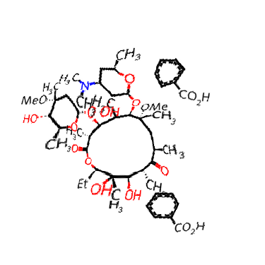 CC[C@H]1OC(=O)[C@H](C)[C@@H](O[C@H]2C[C@@](C)(OC)[C@@H](O)[C@H](C)O2)C(C)[C@@H](O[C@@H]2O[C@H](C)C[C@H](N(C)C)[C@H]2O)[C@](C)(OC)C[C@@H](C)C(=O)[C@H](C)[C@@H](O)[C@]1(C)O.O=C(O)c1ccccc1.O=C(O)c1ccccc1